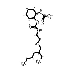 CCCCC(CC)COCCOC(=O)OC1CCCCC1OC(=O)O